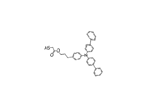 O=C(CS)OCCCc1ccc(N(c2ccc(-c3ccccc3)cc2)c2ccc(-c3ccccc3)cc2)cc1